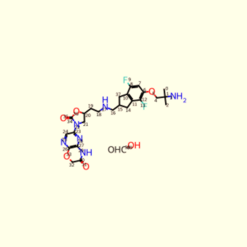 CC(C)(N)COc1cc(F)c2c(c1F)CC(CNCCC1CN(c3cnc4c(n3)NC(=O)CO4)C(=O)O1)C2.O=CO